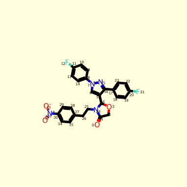 O=C1COC(c2cn(-c3ccc(F)cc3)nc2-c2ccc(F)cc2)N1CCc1ccc([N+](=O)[O-])cc1